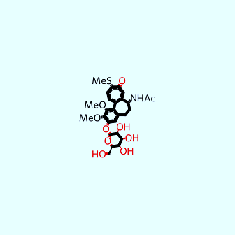 COc1c(OC2O[C@H](CO)[C@@H](O)[C@H](O)[C@H]2O)cc2c(c1OC)-c1ccc(SC)c(=O)cc1C(NC(C)=O)CC2